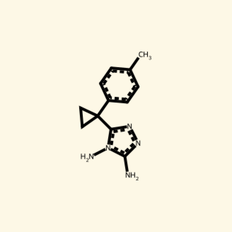 Cc1ccc(C2(c3nnc(N)n3N)CC2)cc1